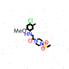 C=CS(=O)(=O)N1CCN(C(=O)CNc2cc(C)c(Cl)cc2OC)CC1